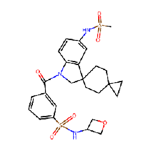 CS(=O)(=O)Nc1ccc2c(c1)C1(CCC3(CC3)CC1)CN2C(=O)c1cccc(S(=O)(=O)NC2COC2)c1